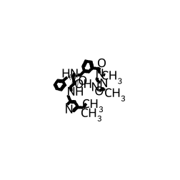 Cc1nc(CN(C)C(=O)c2cccc(C(=O)N[C@@H](Cc3ccccc3)[C@H](O)CNCc3cncc(C(C)C)c3)c2)no1